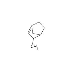 CC1C=C2CCC1C2